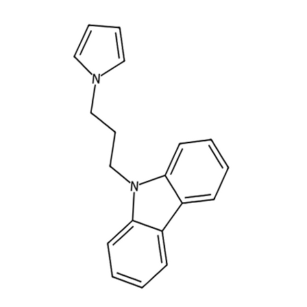 c1ccc2c(c1)c1ccccc1n2CCCn1cccc1